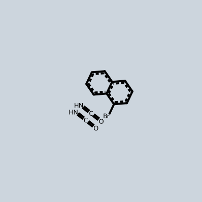 Brc1cccc2ccccc12.N=C=O.N=C=O